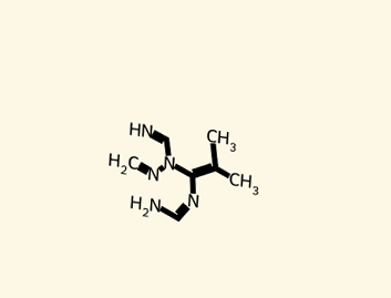 C=NN(C=N)C(/N=C\N)=C(C)C